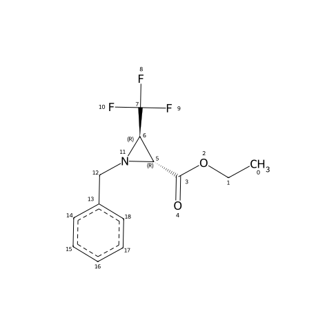 CCOC(=O)[C@H]1[C@H](C(F)(F)F)N1Cc1ccccc1